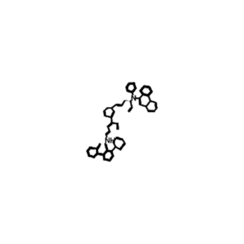 C=C/C(=C\C=C\N/C=c1\c(C2C=CC=CC2)ccc\c1=c1/ccccc1=C)C1=CC(/C=C/C[C@@H](C=C)N(C2=CC3C=CC=CC3c3ccccc32)c2ccccc2)CC=C1